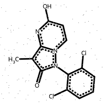 Cc1c(=O)n(-c2c(Cl)cccc2Cl)n2ccc(O)nc12